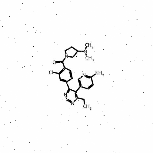 CCc1ncnc(-c2ccc(C(=O)N3CCC(N(C)C)C3)c(Cl)c2)c1-c1ccc(N)nc1